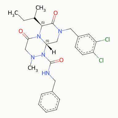 CCC(C)[C@H]1C(=O)N(Cc2ccc(Cl)c(Cl)c2)C[C@H]2N1C(=O)CN(C)N2C(=O)NCc1ccccc1